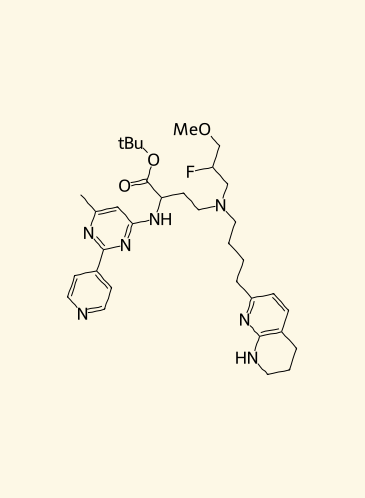 COCC(F)CN(CCCCc1ccc2c(n1)NCCC2)CCC(Nc1cc(C)nc(-c2ccncc2)n1)C(=O)OC(C)(C)C